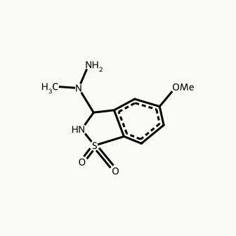 COc1ccc2c(c1)C(N(C)N)NS2(=O)=O